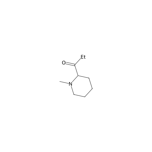 CCC(=O)C1CCCCN1C